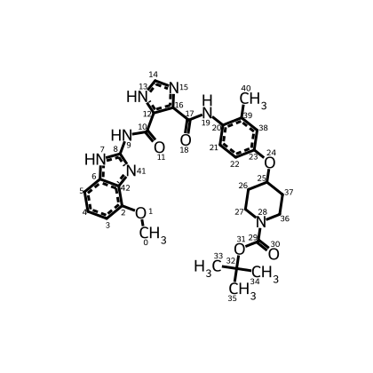 COc1cccc2[nH]c(NC(=O)c3[nH]cnc3C(=O)Nc3ccc(OC4CCN(C(=O)OC(C)(C)C)CC4)cc3C)nc12